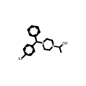 [CH2]C(O)N1CCN(C(c2ccccc2)c2ccc(Cl)cc2)CC1